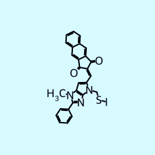 Cn1c(-c2ccccc2)nc2c1cc(C=C1C(=O)c3cc4ccccc4cc3C1=O)n2CSI